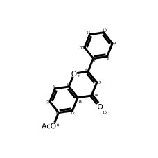 CC(=O)Oc1ccc2oc(-c3ccccc3)cc(=O)c2c1